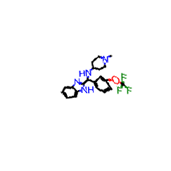 CN1CCC(NC(c2cccc(OC(F)(F)F)c2)c2nc3ccccc3[nH]2)CC1